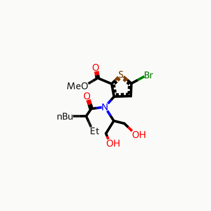 CCCCC(CC)C(=O)N(c1cc(Br)sc1C(=O)OC)C(CO)CO